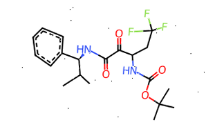 CC(C)[C@H](NC(=O)C(=O)C(CC(F)(F)F)NC(=O)OC(C)(C)C)c1ccccc1